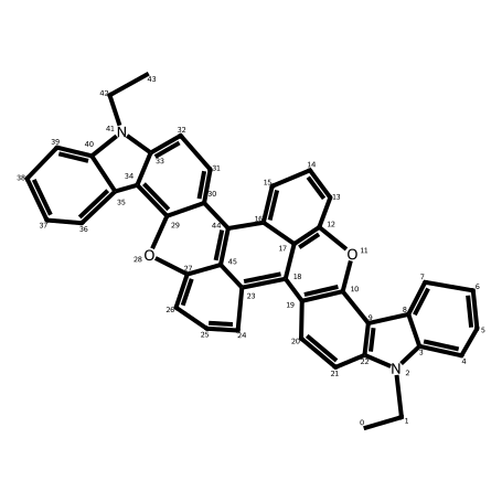 CCn1c2ccccc2c2c3oc4cccc5c4c(c3ccc21)c1cccc2oc3c(ccc4c3c3ccccc3n4CC)c5c21